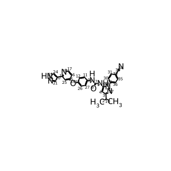 CC(C)c1cc(NC(=O)Nc2ccc(Oc3ccnc(-c4cn[nH]c4)c3)cc2)n(-c2ccc(C#N)cc2)n1